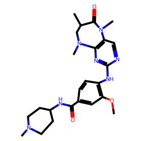 COc1cc(C(=O)NC2CCN(C)CC2)ccc1Nc1ncc2c(n1)N(C)CC(C)C(=O)N2C